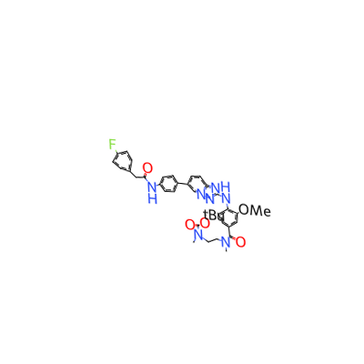 COc1cc(C(=O)N(C)CCN(C)C(=O)OC(C)(C)C)ccc1Nc1nc2ccc(-c3ccc(NC(=O)Cc4ccc(F)cc4)cc3)cn2n1